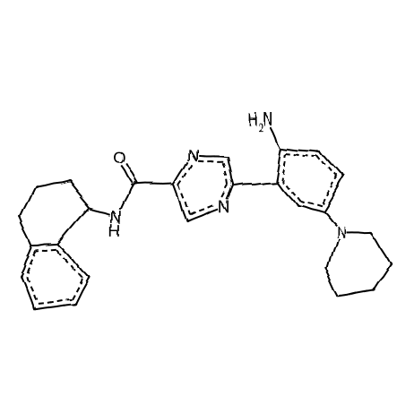 Nc1ccc(N2CCCCC2)cc1-c1cnc(C(=O)NC2CCCc3ccccc32)cn1